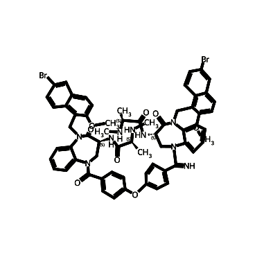 CN[C@@H](C)C(=O)N[C@H]1CN(C(=N)c2ccc(Oc3ccc(C(=O)N4C[C@H](NC(=O)[C@H](C)NC)C(=O)N(Cc5c(OC)ccc6cc(Br)ccc56)c5ccccc54)cc3)cc2)c2ccccc2N(Cc2c(OC)ccc3cc(Br)ccc23)C1=O